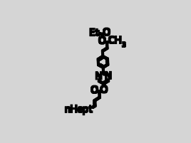 CCCCCCCC=CCC(=O)Oc1cnc(-c2ccc(CCC(C)OC(=O)CC)cc2)nc1